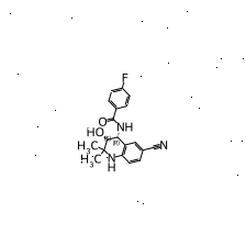 CC1(C)Nc2ccc(C#N)cc2[C@@H](NC(=O)c2ccc(F)cc2)[C@@H]1O